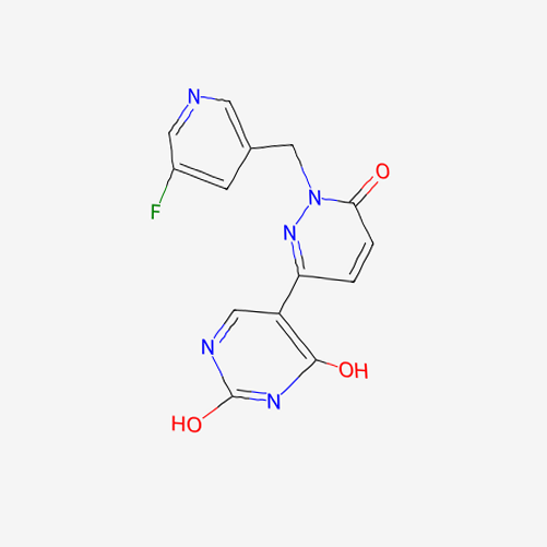 O=c1ccc(-c2cnc(O)nc2O)nn1Cc1cncc(F)c1